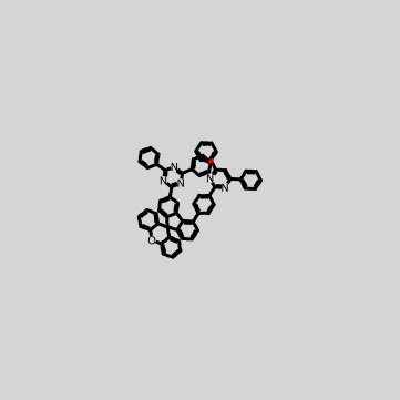 c1ccc(-c2cc(-c3ccccc3)nc(-c3ccc(-c4cccc5c4-c4cc(-c6nc(-c7ccccc7)nc(-c7ccccc7)n6)ccc4C54c5ccccc5Oc5ccccc54)cc3)n2)cc1